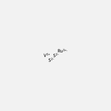 [Ru+3].[S-2].[S-2].[V+5]